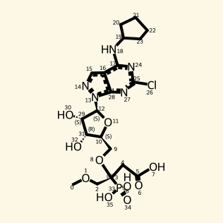 COC[C@](CC(=O)O)(OC[C@@H]1O[C@H](n2ncc3c(NC4CCCC4)nc(Cl)nc32)[C@@H](O)[C@H]1O)P(=O)(O)O